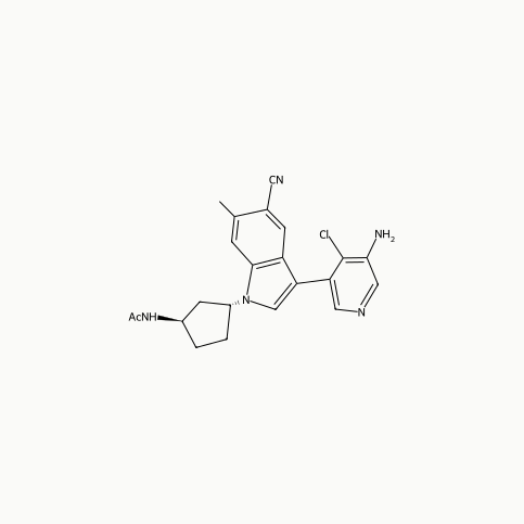 CC(=O)N[C@@H]1CC[C@@H](n2cc(-c3cncc(N)c3Cl)c3cc(C#N)c(C)cc32)C1